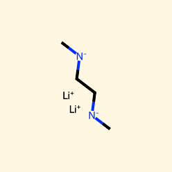 C[N-]CC[N-]C.[Li+].[Li+]